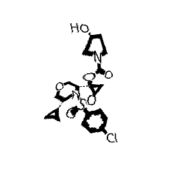 O=C(OC1([C@H]2COC[C@@H](C3CC3)N2S(=O)(=O)c2ccc(Cl)cc2)CC1)N1CC[C@@H](O)C1